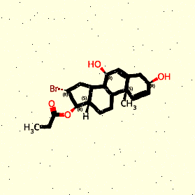 CCC(=O)O[C@H]1[C@H](Br)CC2C3C(CC[C@@H]21)[C@@]1(C)C=C[C@H](O)CC1=C[C@@H]3O